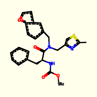 Cc1nc(CN(Cc2ccc3occc3c2)C(=O)[C@H](Cc2ccccc2)NC(=O)OC(C)(C)C)cs1